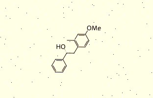 COc1ccc(C[C@@H](O)c2ccccc2)c(C)c1